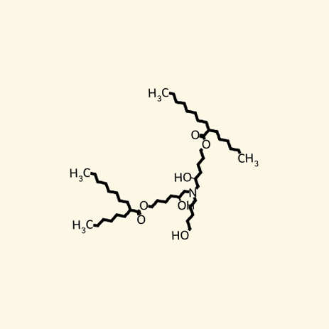 CCCCCCCCC(CCCCCC)C(=O)OCCCC[C@@H](O)CN(CCCCCO)C[C@@H](O)CCCCOC(=O)C(CCCCCC)CCCCCCCC